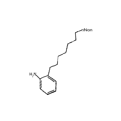 CCCCCCCCCCCCCCCCc1ccccc1N